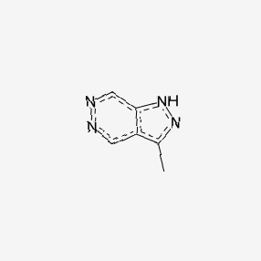 Cc1n[nH]c2cnncc12